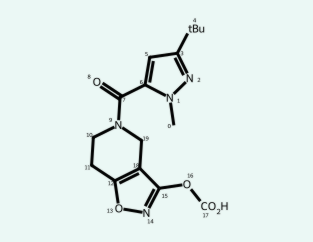 Cn1nc(C(C)(C)C)cc1C(=O)N1CCc2onc(OC(=O)O)c2C1